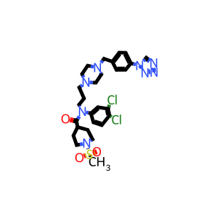 CS(=O)(=O)N1CCC(C(=O)N(CCCN2CCN(Cc3ccc(-n4cnnn4)cc3)CC2)c2ccc(Cl)c(Cl)c2)CC1